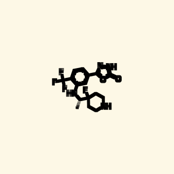 C[C@H](Nc1cc(-c2n[nH]c(=O)o2)ccc1C(F)(F)F)C1(F)CCNCC1